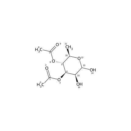 CC(=O)O[C@H]1[C@H](OC(C)=O)[C@@H](C)OC(O)[C@H]1O